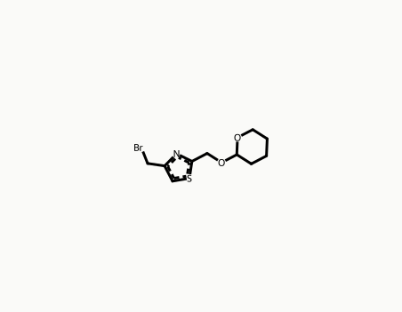 BrCc1csc(COC2CCCCO2)n1